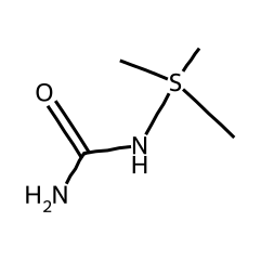 CS(C)(C)NC(N)=O